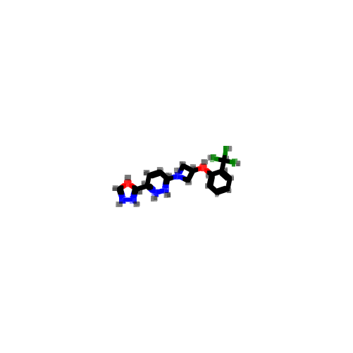 FC(F)(F)c1ccccc1OC1CN(c2ccc(-c3nnco3)nn2)C1